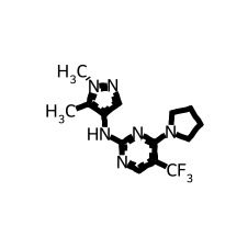 Cc1c(Nc2ncc(C(F)(F)F)c(N3CCCC3)n2)cnn1C